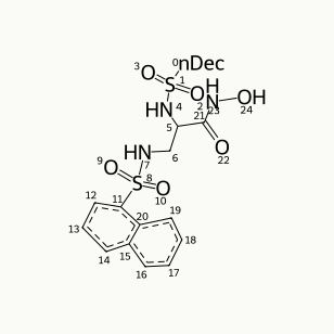 CCCCCCCCCCS(=O)(=O)NC(CNS(=O)(=O)c1cccc2ccccc12)C(=O)NO